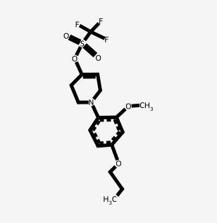 CCCOc1ccc(N2CC=C(OS(=O)(=O)C(F)(F)F)CC2)c(OC)c1